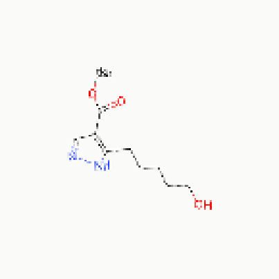 CC(C)(C)OC(=O)c1cn[nH]c1CCCCCO